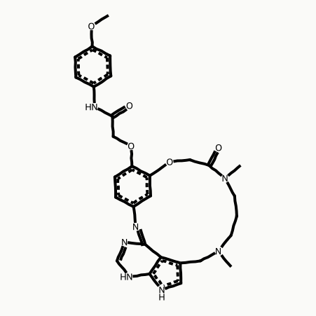 COc1ccc(NC(=O)COc2ccc3cc2OCC(=O)N(C)CCCN(C)Cc2c[nH]c4c2/C(=N\3)N=CN4)cc1